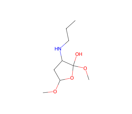 CCCNC1CC(OC)OC1(O)OC